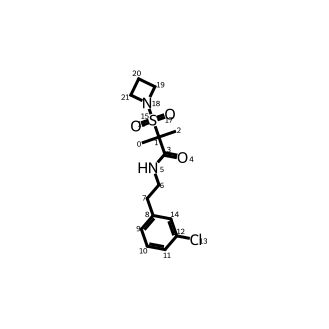 CC(C)(C(=O)NCCc1cccc(Cl)c1)S(=O)(=O)N1CCC1